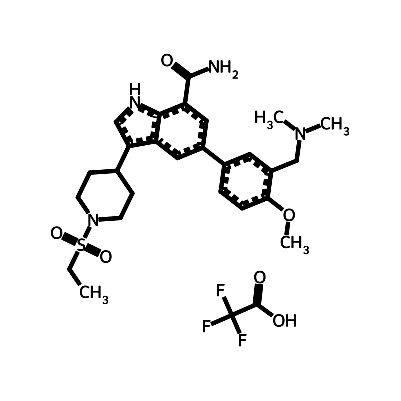 CCS(=O)(=O)N1CCC(c2c[nH]c3c(C(N)=O)cc(-c4ccc(OC)c(CN(C)C)c4)cc23)CC1.O=C(O)C(F)(F)F